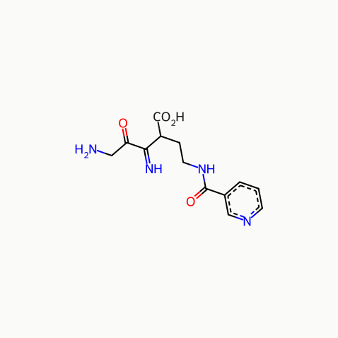 N=C(C(=O)CN)C(CCNC(=O)c1cccnc1)C(=O)O